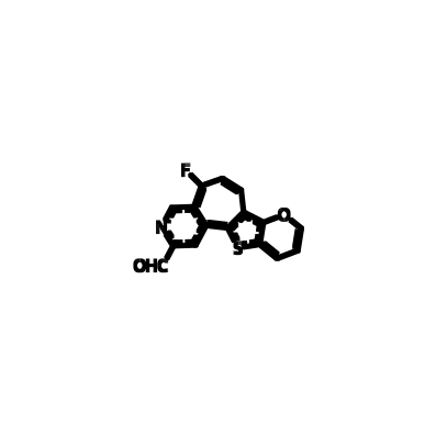 O=Cc1cc2c(cn1)=C(F)C=Cc1c3c(sc1=2)=CC=CO3